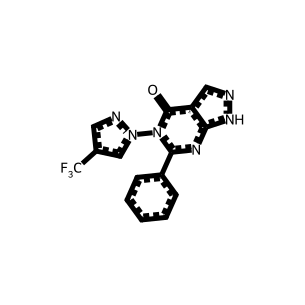 O=c1c2cn[nH]c2nc(-c2ccccc2)n1-n1cc(C(F)(F)F)cn1